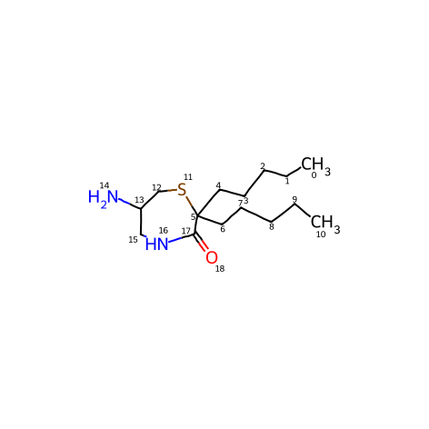 CCCCCC1(CCCCC)SCC(N)CNC1=O